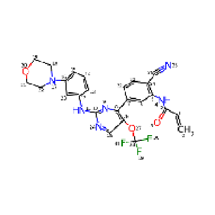 C=CC(=O)Nc1cc(-c2nc(Nc3cccc(N4CCOCC4)c3)ncc2OC(F)(F)F)ccc1C#N